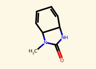 [CH2]N1C(=O)NC2C=CC=CC21